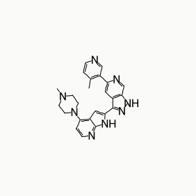 Cc1ccncc1-c1cc2c(-c3cc4c(N5CCN(C)CC5)ccnc4[nH]3)n[nH]c2cn1